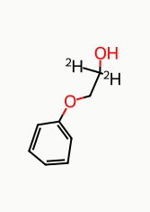 [2H]C([2H])(O)COc1ccccc1